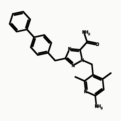 Cc1cc(N)nc(C)c1Cn1nc(Cc2ccc(-c3ccccc3)cc2)nc1C(N)=O